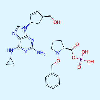 Nc1nc(NC2CC2)c2ncn([C@H]3C=C[C@@H](CO)C3)c2n1.O=C(OP(=O)(O)O)[C@@H]1CCCN1OCc1ccccc1